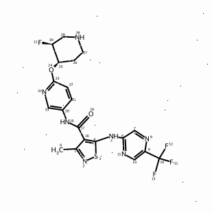 Cc1nsc(Nc2cnc(C(F)(F)F)cn2)c1C(=O)Nc1ccc(O[C@@H]2CCNC[C@@H]2F)nc1